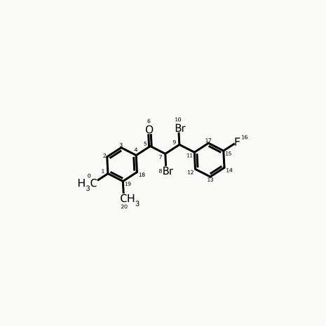 Cc1ccc(C(=O)C(Br)C(Br)c2cccc(F)c2)cc1C